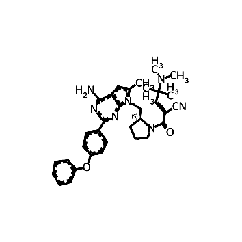 Cc1cc2c(N)nc(-c3ccc(Oc4ccccc4)cc3)nc2n1C[C@@H]1CCCN1C(=O)C(C#N)=CC(C)(C)N(C)C